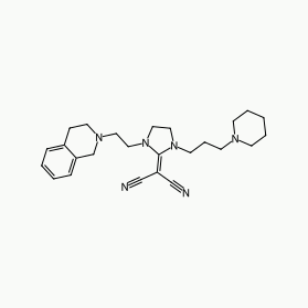 N#CC(C#N)=C1N(CCCN2CCCCC2)CCN1CCN1CCc2ccccc2C1